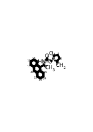 C=C1CCC(=O)N1OC(=O)NC(C)c1c2ccccc2cc2ccccc12